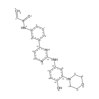 C=CC(=O)Nc1cccc(-c2ccnc(Nc3ccc(O)c(N4CCOCC4)c3)n2)c1